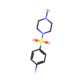 CCN1CCN(S(=O)(=O)c2ccc(I)cc2)CC1